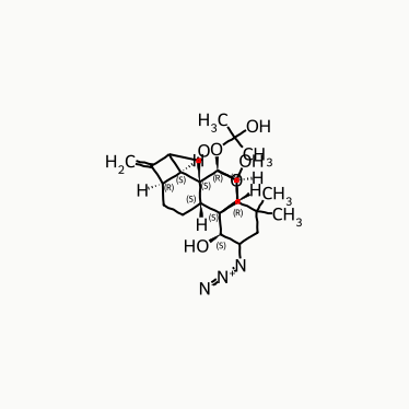 C=C1C2C(=O)[C@]34[C@H]2[C@H]1CC[C@H]3[C@@]12CO[C@]4(OC(C)(C)O)[C@@H](O)[C@@H]1C(C)(C)CC(N=[N+]=[N-])[C@H]2O